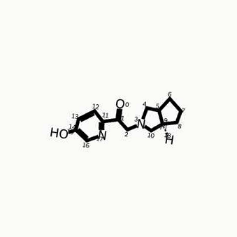 O=C(CN1CC2CCC[C@H]2C1)c1ccc(O)cn1